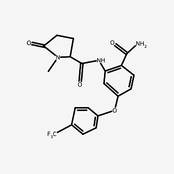 CN1C(=O)CCC1C(=O)Nc1cc(Oc2ccc(C(F)(F)F)cc2)ccc1C(N)=O